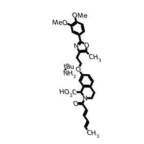 CC(C)(C)N.CC=CC=CC(=O)N1CCc2ccc(OCCc3nc(-c4ccc(OC)c(OC)c4)oc3C)cc2C1C(=O)O